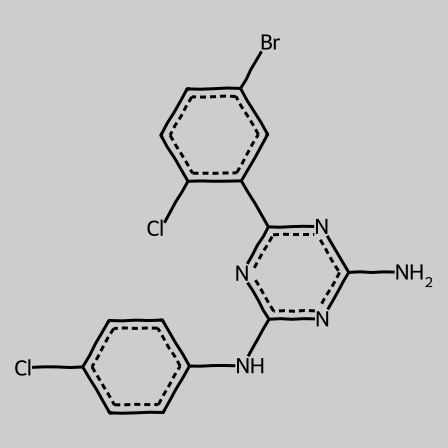 Nc1nc(Nc2ccc(Cl)cc2)nc(-c2cc(Br)ccc2Cl)n1